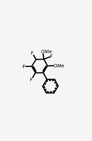 COC1=C(c2ccccc2)C(F)=C(F)C(F)C1(F)OC